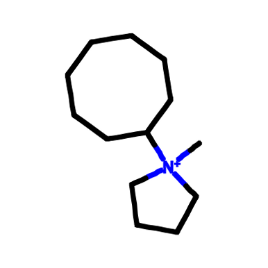 C[N+]1(C2CCCCCCC2)CCCC1